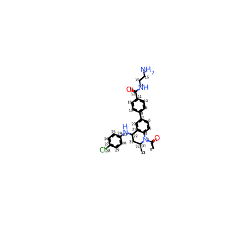 CC(=O)N1c2ccc(-c3ccc(C(=O)NCCN)cc3)cc2C(Nc2ccc(Cl)cc2)C[C@@H]1C